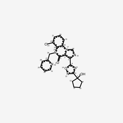 O=c1c2c(-c3nc(C4(O)CCCC4)no3)ncn2c2cccc(Cl)c2n1Cc1ccccn1